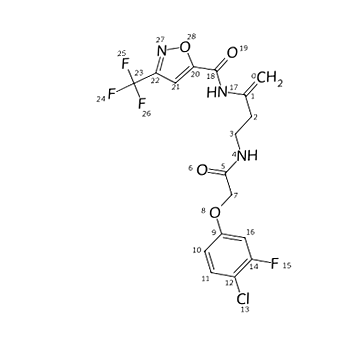 C=C(CCNC(=O)COc1ccc(Cl)c(F)c1)NC(=O)c1cc(C(F)(F)F)no1